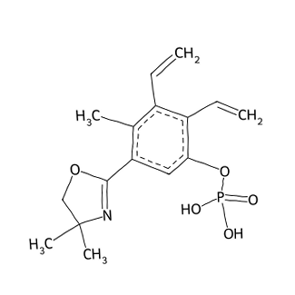 C=Cc1c(OP(=O)(O)O)cc(C2=NC(C)(C)CO2)c(C)c1C=C